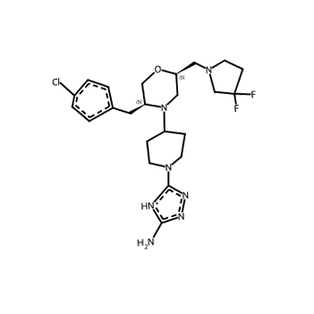 Nc1nnc(N2CCC(N3C[C@H](CN4CCC(F)(F)C4)OC[C@@H]3Cc3ccc(Cl)cc3)CC2)[nH]1